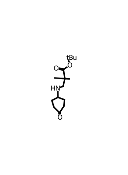 CC(C)(C)OC(=O)C(C)(C)CNC1CCC(=O)CC1